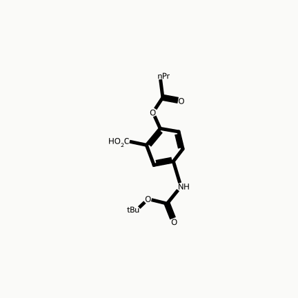 CCCC(=O)Oc1ccc(NC(=O)OC(C)(C)C)cc1C(=O)O